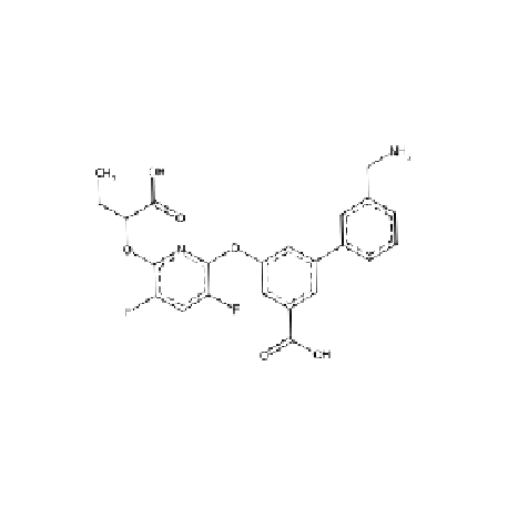 CCC(Oc1nc(Oc2cc(C(=O)O)cc(-c3cccc(CN)c3)c2)c(F)cc1F)C(=O)O